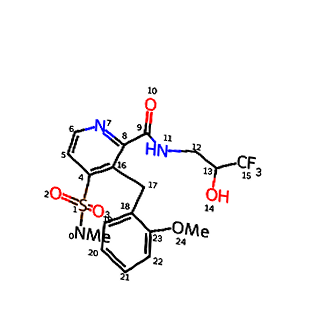 CNS(=O)(=O)c1ccnc(C(=O)NCC(O)C(F)(F)F)c1Cc1ccccc1OC